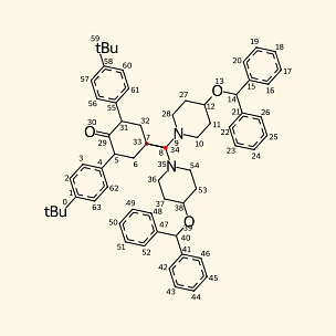 CC(C)(C)c1ccc(C(CCCN2CCC(OC(c3ccccc3)c3ccccc3)CC2)C(=O)C(CCCN2CCC(OC(c3ccccc3)c3ccccc3)CC2)c2ccc(C(C)(C)C)cc2)cc1